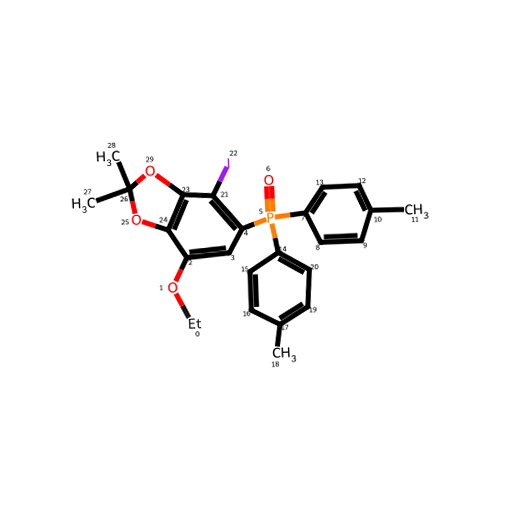 CCOc1cc(P(=O)(c2ccc(C)cc2)c2ccc(C)cc2)c(I)c2c1OC(C)(C)O2